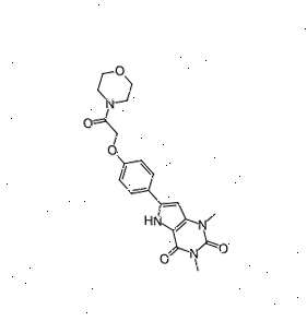 Cn1c(=O)c2[nH]c(-c3ccc(OCC(=O)N4CCOCC4)cc3)cc2n(C)c1=O